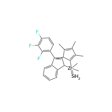 CC1=C(C)C(C)[C]([Zr]([CH3])([CH3])(=[SiH2])[CH]2C=C(c3ccc(F)c(F)c3F)c3ccccc32)=C1C